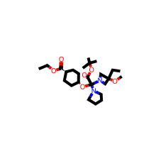 CCOC(=O)[C@H]1CC[C@H](OC(C(=O)OC(C)(C)C)(N2CCCC2)N2CC(CC)(OC)C2)CC1